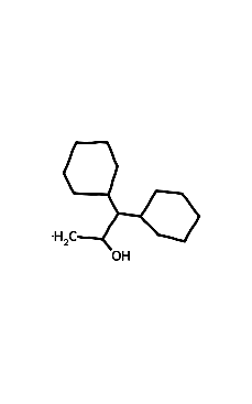 [CH2]C(O)C(C1CCCCC1)C1CCCCC1